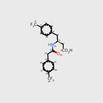 O=C(O)C[C@H](Cc1ccc(C(F)(F)F)cc1)NC(=O)Cc1ccc(C(F)(F)F)cc1